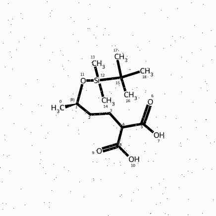 C[C@H](CCC(C(=O)O)C(=O)O)O[Si](C)(C)C(C)(C)C